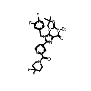 CCN1C(=O)c2nc(-c3ccnc(C(=O)N4CCC(F)(F)CC4)c3)n(Cc3ccc(F)c(F)c3)c2N2CC(C)(C)N=C12